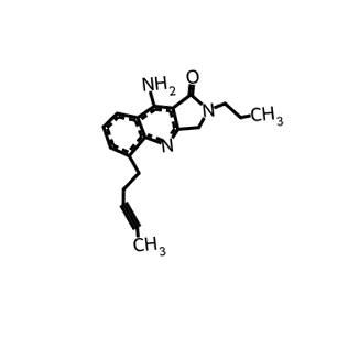 CC#CCCc1cccc2c(N)c3c(nc12)CN(CCC)C3=O